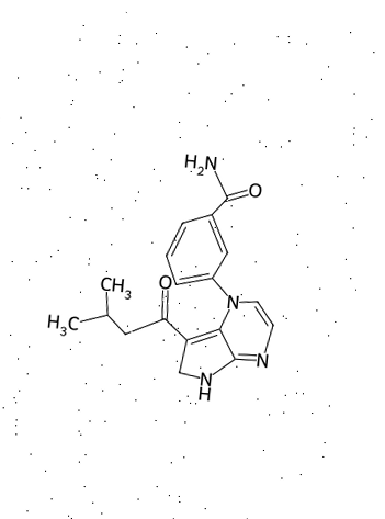 CC(C)CC(=O)C1=C2C(=NC=CN2c2cccc(C(N)=O)c2)NC1